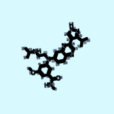 CNC(=O)c1cc(OC)cc(N(CCNC(C)C)c2ccc3ncc(-c4c[nH]nc4C(C)C)nc3c2)c1